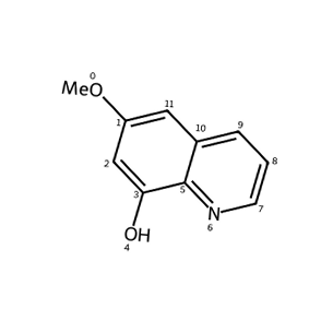 COc1cc(O)c2ncccc2c1